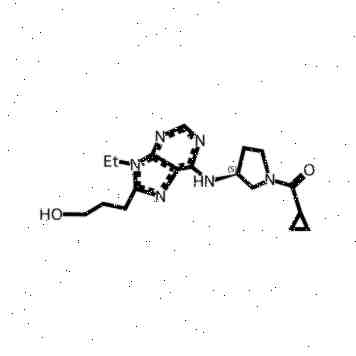 CCn1c(CCCO)nc2c(N[C@H]3CCN(C(=O)C4CC4)C3)ncnc21